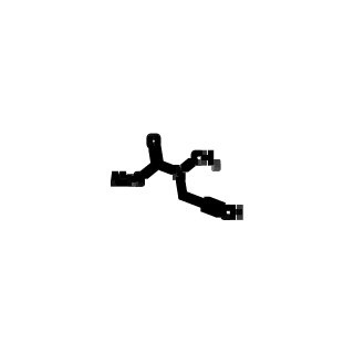 C#CCN(C)C(=O)SC